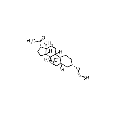 CC(=O)[C@H]1CC[C@H]2[C@@H]3CC[C@H]4C[C@@H](OSS)CC[C@]4(C)[C@H]3CC[C@]12C